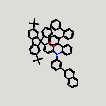 CC(C)(C)c1ccc2c(c1)C1(c3ccccc3-c3cc(N(c4cccc(-c5ccc6ccccc6c5)c4)c4ccccc4-c4ccccc4-c4ccccc4-c4ccccc4)ccc31)c1cc(C(C)(C)C)ccc1-2